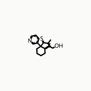 CC(=S)C(=S)C1(c2cccnc2)CCCCC1=CCO